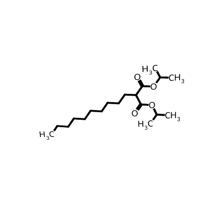 CCCCCCCCCCC(C(=O)OC(C)C)C(=O)OC(C)C